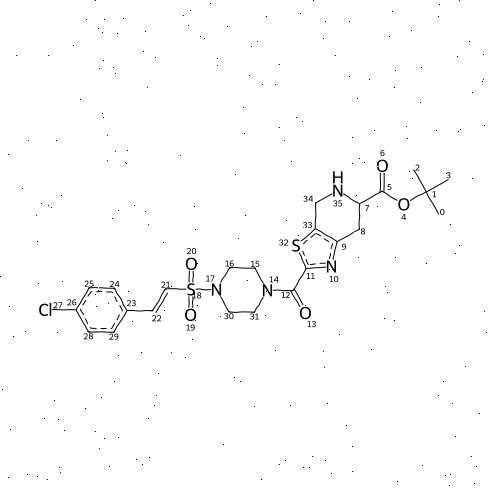 CC(C)(C)OC(=O)C1Cc2nc(C(=O)N3CCN(S(=O)(=O)/C=C/c4ccc(Cl)cc4)CC3)sc2CN1